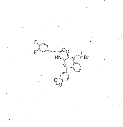 C[C@@H](Cc1ccc(F)c(F)c1)C(=O)NC1N=C(c2ccc3c(c2)OCO3)c2ccccc2N(CC(C)(C)Br)C1=O